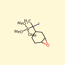 CO[Si](OC)(OC)C(C)(I)C1CCC2OC2C1